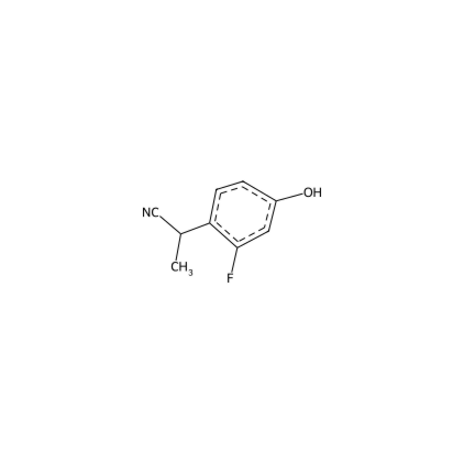 CC(C#N)c1ccc(O)cc1F